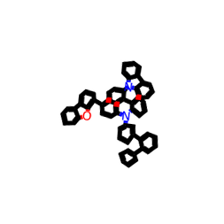 c1ccc(-c2ccccc2-c2cccc(N(c3ccc(-c4cccc5c4oc4ccccc45)cc3)c3ccccc3-c3ccccc3-n3c4ccccc4c4ccccc43)c2)cc1